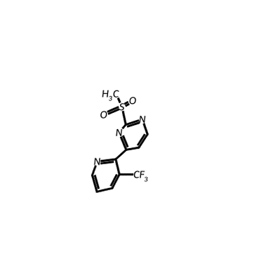 CS(=O)(=O)c1nccc(-c2ncccc2C(F)(F)F)n1